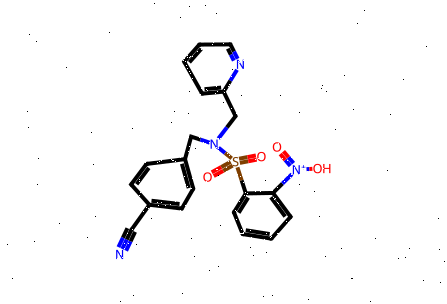 N#Cc1ccc(CN(Cc2ccccn2)S(=O)(=O)c2ccccc2[N+](=O)O)cc1